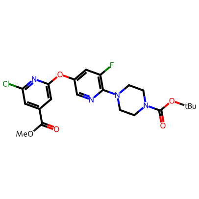 COC(=O)c1cc(Cl)nc(Oc2cnc(N3CCN(C(=O)OC(C)(C)C)CC3)c(F)c2)c1